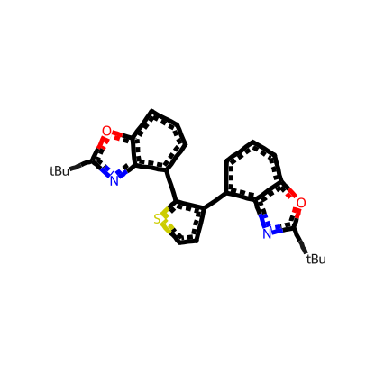 CC(C)(C)c1nc2c(-c3ccsc3-c3cccc4oc(C(C)(C)C)nc34)cccc2o1